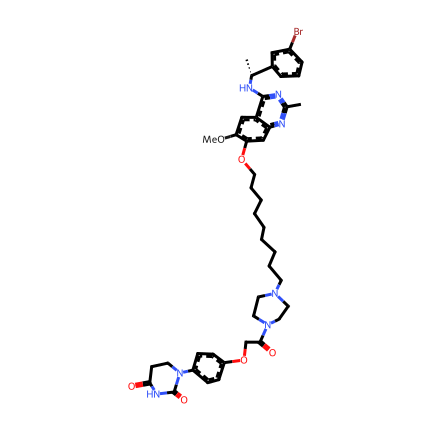 COc1cc2c(N[C@H](C)c3cccc(Br)c3)nc(C)nc2cc1OCCCCCCCCCN1CCN(C(=O)COc2ccc(N3CCC(=O)NC3=O)cc2)CC1